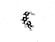 CCN1Cc2c(ccnc2N[C@@H](C)c2cc(F)c(-c3cc(OC(C)(C)C)ncc3C)cc2F)C1=O